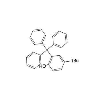 CC(C)(C)c1ccc(O)c(C(c2ccccc2)(c2ccccc2)c2ccccc2)c1